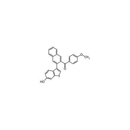 COc1ccc(C(=O)c2cc3ccccc3cc2-c2csc3cc(O)ccc23)cc1